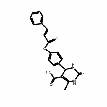 CC1=C(C(=O)O)C(c2ccc(OC(=O)/C=C/c3ccccc3)cc2)NC(=S)N1